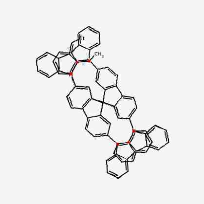 C/C=C1\C(=C/CC)C2C=CC=CC2N1c1ccc2c(c1)C1(c3cc(-n4c5ccccc5c5ccccc54)ccc3-2)c2cc(-n3c4ccccc4c4ccccc43)ccc2-c2ccc(-n3c4ccccc4c4ccccc43)cc21